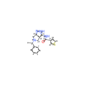 CC(c1ccccc1)N1Cc2n[nH]c(NC(=O)c3ccsc3)c2C1